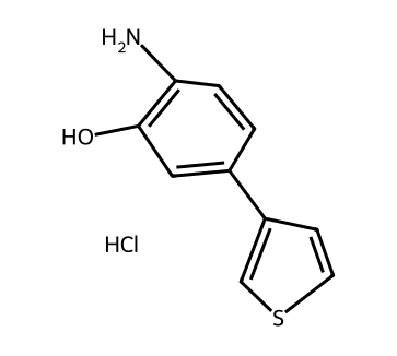 Cl.Nc1ccc(-c2ccsc2)cc1O